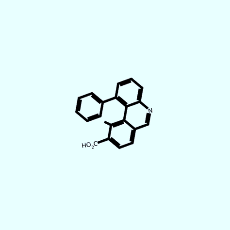 Cc1c(C(=O)O)ccc2cnc3cccc(-c4ccccc4)c3c12